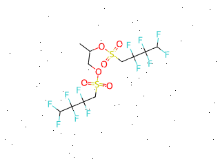 CC(COS(=O)(=O)CC(F)(F)C(F)(F)C(F)F)OS(=O)(=O)CC(F)(F)C(F)(F)C(F)F